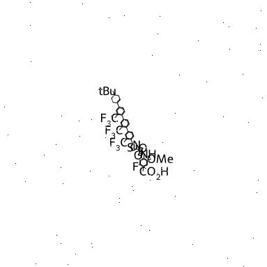 COc1cc(C(=O)O)c(F)cc1NS(=O)(=O)c1csc(-c2ccc(-c3ccc(-c4ccc(C5=CCC(C(C)(C)C)CC5)cc4C(F)(F)F)cc3C(F)(F)F)cc2C(F)(F)F)n1